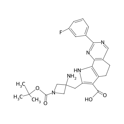 CC(C)(C)OC(=O)N1CC(N)(Cc2[nH]c3c(c2C(=O)O)CCc2cnc(-c4cccc(F)c4)nc2-3)C1